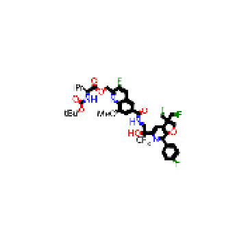 COc1cc(C(=O)NCC(O)(c2cc3c(c(-c4ccc(F)cc4)n2)OCC3(CF)CF)C(F)(F)F)cc2cc(F)c(COC(=O)[C@@H](NC(=O)OC(C)(C)C)C(C)C)nc12